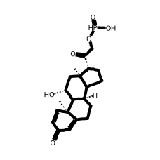 C[C@@]12C=CC(=O)C=C1CC[C@H]1C2[C@H](O)C[C@]2(C)C1CC[C@H]2C(=O)CO[PH](=O)O